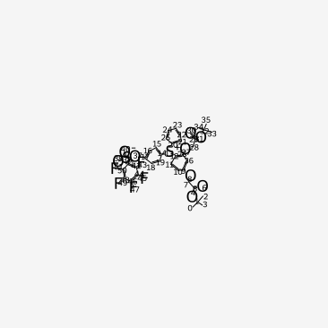 CC(C)(C)OC(=O)COc1ccc([S+](c2ccccc2)c2ccccc2)c(OCC(=O)OC(C)(C)C)c1.O=S(=O)([O-])c1c(F)c(F)c(F)c(F)c1F